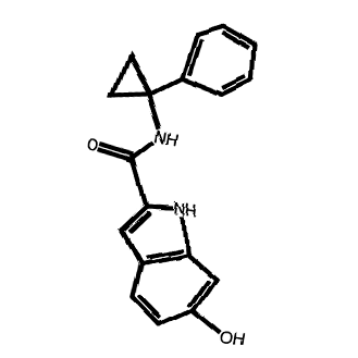 O=C(NC1(c2ccccc2)CC1)c1cc2ccc(O)cc2[nH]1